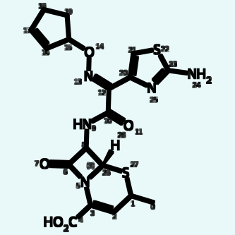 CC1C=C(C(=O)O)N2C(=O)C(NC(=O)C(=NOC3C=CCC3)c3csc(N)n3)[C@@H]2S1